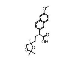 COc1ccc2cc([C@H](CC[C@]3(C)COC(C)(C)O3)C(=O)O)ccc2c1